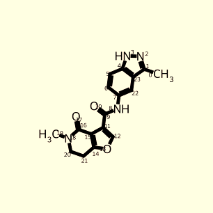 Cc1n[nH]c2ccc(NC(=O)c3coc4c3C(=O)N(C)CC4)cc12